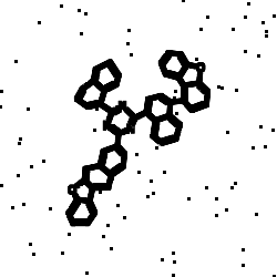 c1ccc2c(-c3nc(-c4ccc5cc6c(cc5c4)oc4ccccc46)nc(-c4ccc(-c5cccc6oc7ccccc7c56)c5ccccc45)n3)cccc2c1